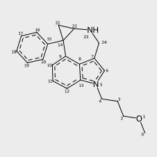 COCCCn1cc2c3c(cccc31)C1(c3ccccc3)CC1NC2